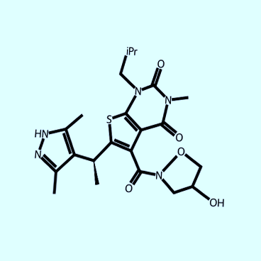 Cc1n[nH]c(C)c1[C@H](C)c1sc2c(c1C(=O)N1CC(O)CO1)c(=O)n(C)c(=O)n2CC(C)C